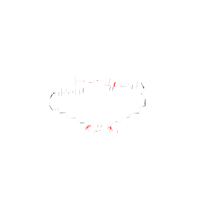 CCCCC/C=C\C/C=C\CCCCCCCC(=O)OCC(C)OC(=O)CCCCCCC/C=C\C/C=C\CCCCC.OCCO